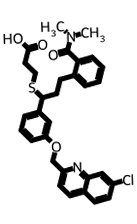 CN(C)C(=O)c1ccccc1CCC(SCCC(=O)O)c1cccc(OCc2ccc3ccc(Cl)cc3n2)c1